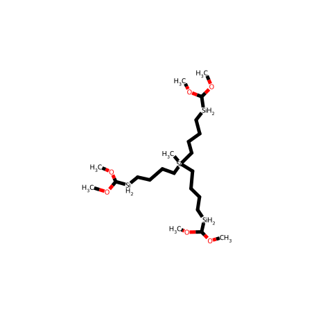 COC(OC)[SiH2]CCCC[Si](C)(CCCC[SiH2]C(OC)OC)CCCC[SiH2]C(OC)OC